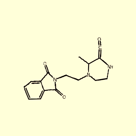 CC1C(=C=O)NCCN1CCN1C(=O)c2ccccc2C1=O